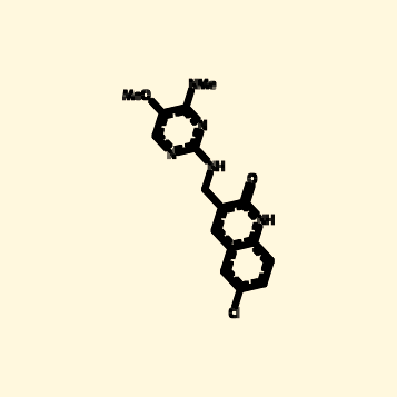 CNc1nc(NCc2cc3cc(Cl)ccc3[nH]c2=O)ncc1OC